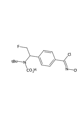 CC(C)(C)N(C(=O)O)C(CF)c1ccc(C(Cl)=NO)cc1